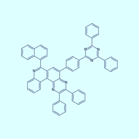 c1ccc(-c2nc(-c3ccccc3)nc(-c3ccc(-c4cc5c(-c6cccc7ccccc67)nc6ccccc6c5c5nc(-c6ccccc6)c(-c6ccccc6)nc45)cc3)n2)cc1